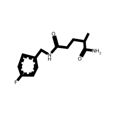 CC(CCC(=O)NCc1ccc(F)cc1)C(N)=O